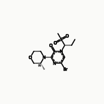 CCC(n1cc(Br)nc(N2CCOC[C@H]2C)c1=O)S(C)(=O)=O